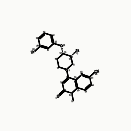 CC[C@@H]1CN(c2cc(=O)n(C)c3ccc(C#N)nc23)CC[C@@H]1Oc1cccc(C(C)C)c1